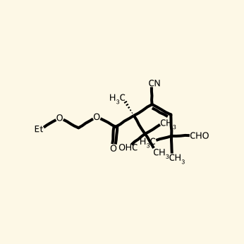 CCOCOC(=O)[C@@](C)(/C(C#N)=C\C(C)(C)C=O)C(C)(C)C=O